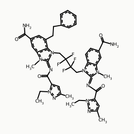 CCn1nc(C)cc1C(=O)/N=c1\n(C)c2cc(C(N)=O)ccc2n1CC(F)(F)C(F)(F)Cn1/c(=N/C(=O)c2cc(C)nn2CC)n(C)c2cc(C(N)=O)cc(CCc3ccccc3)c21